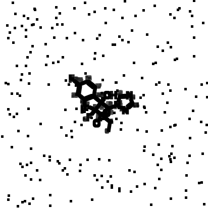 CCS(=O)(=O)C(F)(F)C(O)(Cn1cncn1)c1ccc(F)cc1F